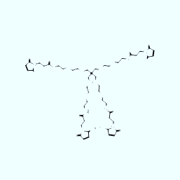 O=C(CCN1C(=O)C=CC1=O)NCCOCCOCC(COCCOCCNC(=O)CCN1C(=O)C=CC1=O)(COCCOCCNC(=O)CCN1C(=O)C=CC1=O)COCCOCCNC(=O)CCN1C(=O)C=CC1O